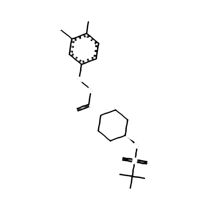 CC(C)(C)S(=O)(=O)N[C@H]1CC[C@H](C(=O)NNc2ccc(Cl)c(Cl)c2)CC1